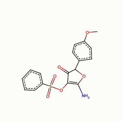 COc1ccc(C2OC(N)=C(OS(=O)(=O)c3ccccc3)C2=O)cc1